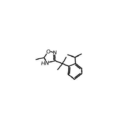 CC1NC(C(C)(C)c2ccccc2C(C)C)=NO1